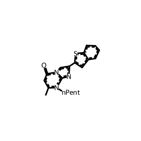 CCCCCn1c(C)cc(=O)n2cc(-c3cc4ccccc4s3)nc12